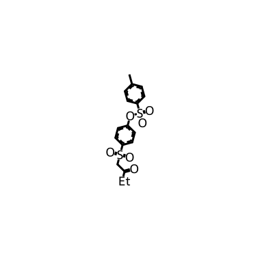 CCC(=O)CS(=O)(=O)c1ccc(OS(=O)(=O)c2ccc(C)cc2)cc1